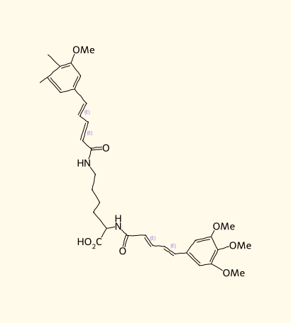 COc1cc(/C=C/C=C/C(=O)NCCCCC(NC(=O)/C=C/C=C/c2cc(OC)c(OC)c(OC)c2)C(=O)O)cc(C)c1C